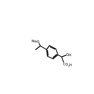 COC(C)c1ccc(C(O)C(=O)O)cc1